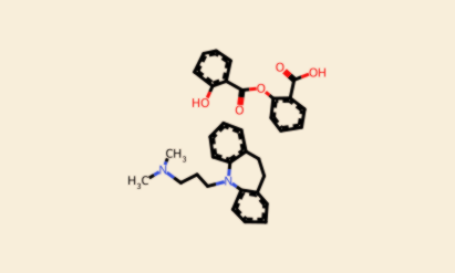 CN(C)CCCN1c2ccccc2CCc2ccccc21.O=C(Oc1ccccc1C(=O)O)c1ccccc1O